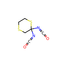 O=C=NC1(N=C=O)CSCCS1